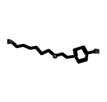 CCc1ccc(CCOCCCCCCBr)cc1